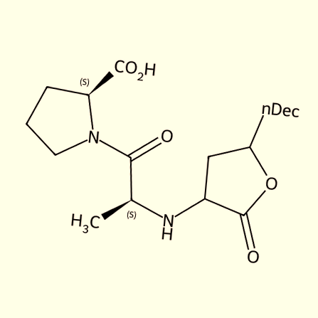 CCCCCCCCCCC1CC(N[C@@H](C)C(=O)N2CCC[C@H]2C(=O)O)C(=O)O1